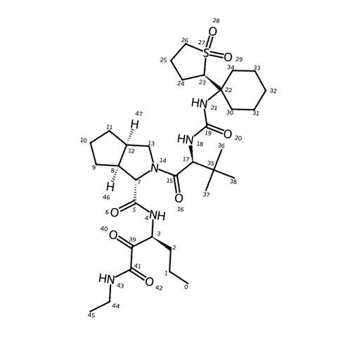 CCC[C@H](NC(=O)[C@@H]1[C@H]2CCC[C@H]2CN1C(=O)[C@@H](NC(=O)NC1([C@H]2CCCS2(=O)=O)CCCCC1)C(C)(C)C)C(=O)C(=O)NCC